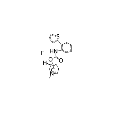 C[N+]12CCC(CC1)[C@@H](OC(=O)Nc1ccccc1-c1cccs1)C2.[I-]